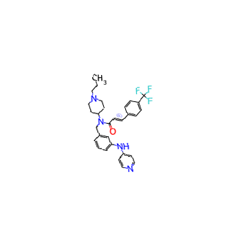 CCCN1CCC(N(Cc2cccc(Nc3ccncc3)c2)C(=O)/C=C/c2ccc(C(F)(F)F)cc2)CC1